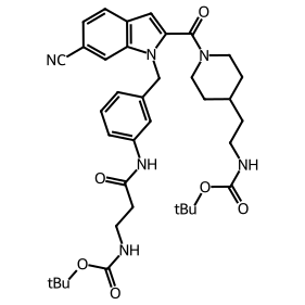 CC(C)(C)OC(=O)NCCC(=O)Nc1cccc(Cn2c(C(=O)N3CCC(CCNC(=O)OC(C)(C)C)CC3)cc3ccc(C#N)cc32)c1